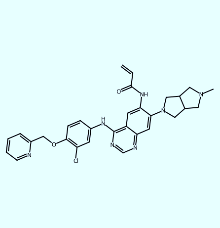 C=CC(=O)Nc1cc2c(Nc3ccc(OCc4ccccn4)c(Cl)c3)ncnc2cc1N1CC2CN(C)CC2C1